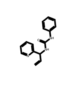 C=CC(NC(=O)Nc1ccccc1)c1ccccn1